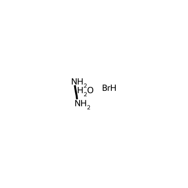 Br.NN.O